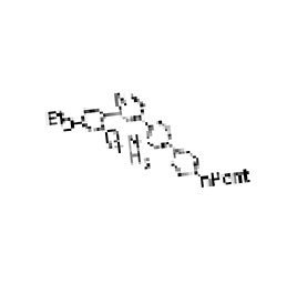 CCCCCc1ccc(-c2ccc(-c3ccnc(-c4ccc(OCC)cc4OCC)c3)c(N)c2)cc1